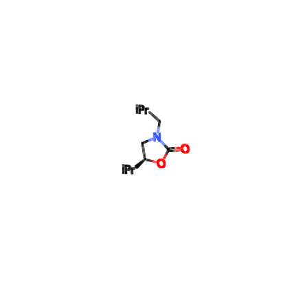 CC(C)CN1C[C@H](C(C)C)OC1=O